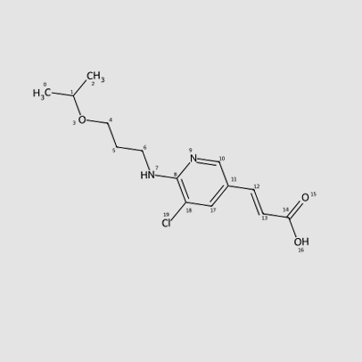 CC(C)OCCCNc1ncc(/C=C/C(=O)O)cc1Cl